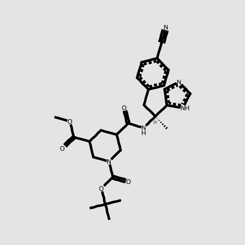 COC(=O)C1CC(C(=O)N[C@@](C)(Cc2ccc(C#N)cc2)c2cnc[nH]2)CN(C(=O)OC(C)(C)C)C1